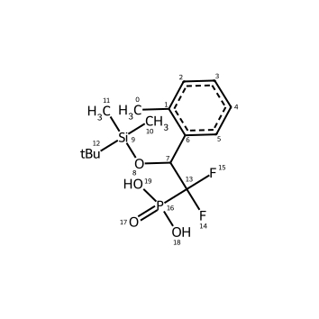 Cc1ccccc1C(O[Si](C)(C)C(C)(C)C)C(F)(F)P(=O)(O)O